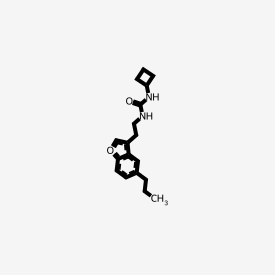 CCCc1ccc2occ(CCNC(=O)NC3CCC3)c2c1